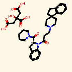 O=C(O)CC(O)(CC(=O)O)C(=O)O.O=C([C@@H]1Cc2ccccc2N1C(=O)CCN1CCC2(CCc3ccccc32)CC1)N1CCCCC1